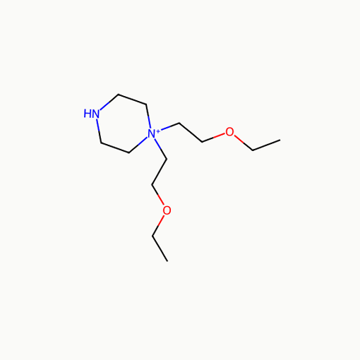 CCOCC[N+]1(CCOCC)CCNCC1